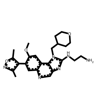 COc1cc2c(cc1-c1c(C)noc1C)ncc1nc(NCCN)n(CC3CCOCC3)c12